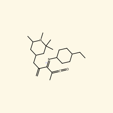 C=C(CC1CC(C)N(C)C(C)(C)C1)/C(=N/C1CCC(CC)CC1)C(C)=C=O